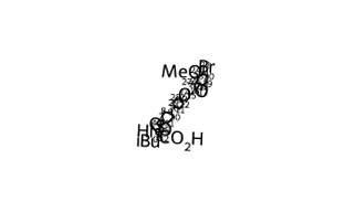 CCC(C)C(NS(=O)(=O)c1ccc(-c2ccc(OCc3oc4ccc(Br)c(OC)c4c3C)cc2)cc1)C(=O)O